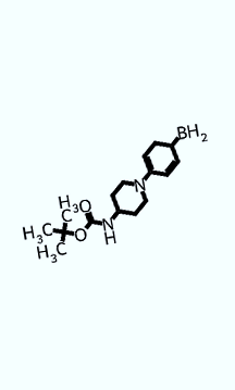 BC1C=CC(N2CCC(NC(=O)OC(C)(C)C)CC2)=CC1